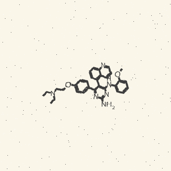 CCN(CC)CCOc1ccc(-c2nc(N)nc(Nc3ccccc3OC)c2-c2cccc3ncccc23)cc1